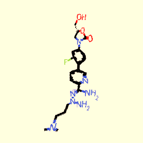 CN(C)CCCN(N)/N=C(\N)c1ccc(-c2ccc(N3C[C@H](CO)OC3=O)cc2F)cn1